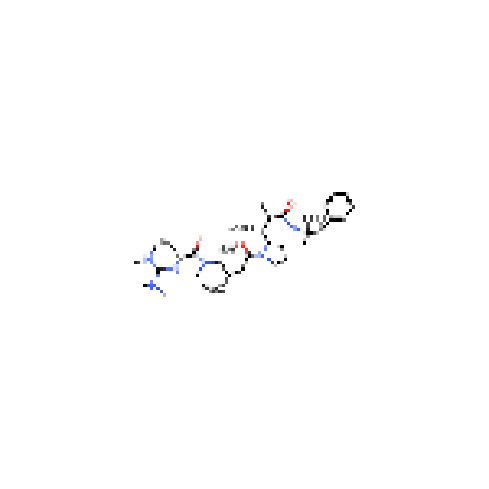 CC[C@H](C)[C@@H]([C@@H](CC(=O)N1CCC[C@H]1[C@H](OC)[C@@H](C)C(=O)N[C@@](C)(Cc1ccccc1)C(=O)O)OC)N(C)C(=O)[C@@H](N=C(N(C)C)N(C)C)C(C)C